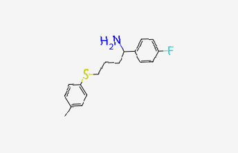 Cc1ccc(SCCCC(N)c2ccc(F)cc2)cc1